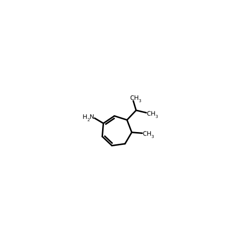 CC(C)C1C=C(N)C=CCC1C